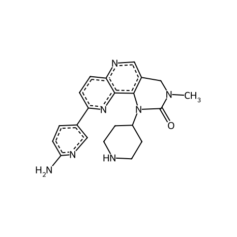 CN1Cc2cnc3ccc(-c4ccc(N)nc4)nc3c2N(C2CCNCC2)C1=O